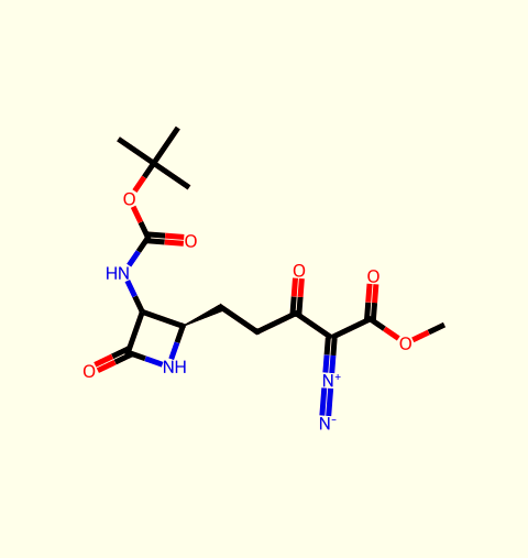 COC(=O)C(=[N+]=[N-])C(=O)CC[C@H]1NC(=O)C1NC(=O)OC(C)(C)C